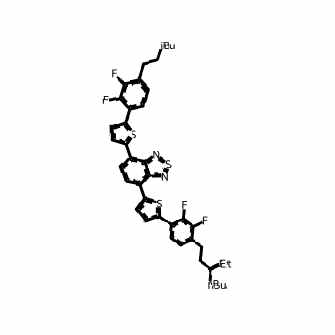 CCCCC(CC)CCc1ccc(-c2ccc(-c3ccc(-c4ccc(-c5ccc(CCC(C)CC)c(F)c5F)s4)c4nsnc34)s2)c(F)c1F